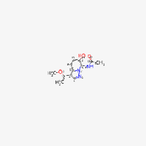 C=C(OC)c1cnn2c(NC(C)=O)c(O)ccc12